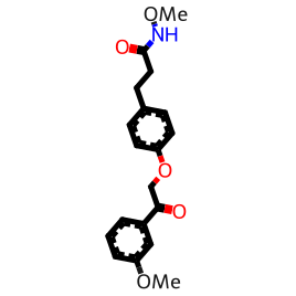 CONC(=O)CCc1ccc(OCC(=O)c2cccc(OC)c2)cc1